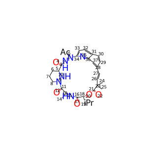 CC(=O)N1NC(=O)C2CCCN(N2)C(=O)C(C)NC(=O)C(C(C)C)OC(=O)C(C)(C)/C=C/c2ccc3ccc1nc3c2